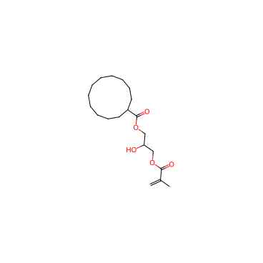 C=C(C)C(=O)OCC(O)COC(=O)C1CCCCCCCCCCC1